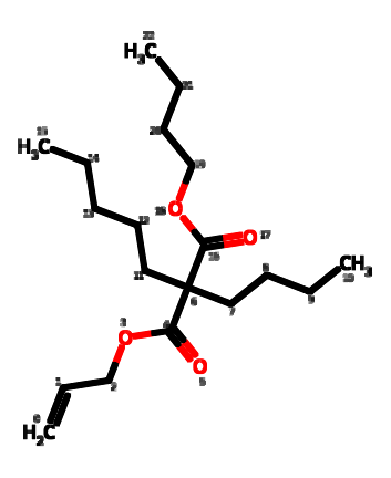 C=CCOC(=O)C(CCCC)(CCCCC)C(=O)OCCCC